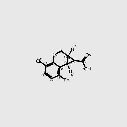 O=C(O)C1[C@H]2COc3c(Cl)ccc(F)c3[C@@H]12